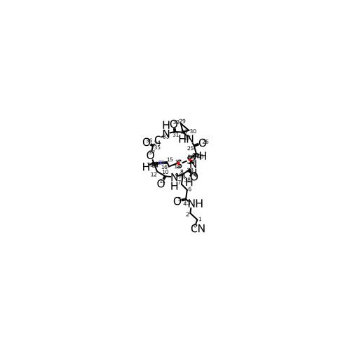 N#CCCNC(=O)CC[C@H]1NC(=O)C[C@H]2/C=C/CCSSC[C@@H](NC1=O)C(=O)NC1(CC1)C(=O)NCC(=O)O2